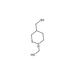 SCC1CC[SH](CS)SC1